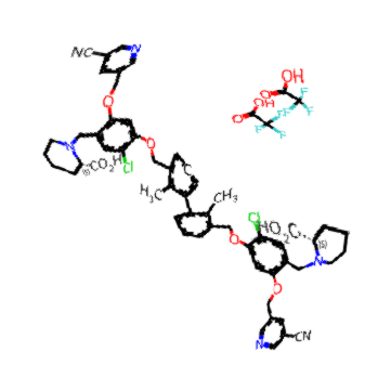 Cc1c(COc2cc(OCc3cncc(C#N)c3)c(CN3CCCC[C@H]3C(=O)O)cc2Cl)cccc1-c1cccc(COc2cc(OCc3cncc(C#N)c3)c(CN3CCCC[C@H]3C(=O)O)cc2Cl)c1C.O=C(O)C(F)(F)F.O=C(O)C(F)(F)F